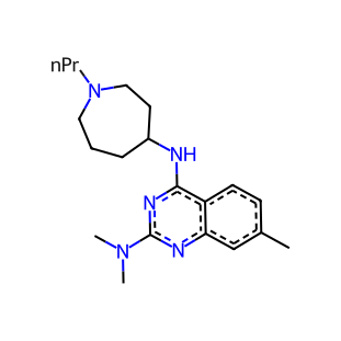 CCCN1CCCC(Nc2nc(N(C)C)nc3cc(C)ccc23)CC1